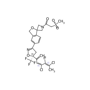 C=C(/C=C(Cl)\C(F)=C(/C)Cl)[C@]1(C(F)(F)F)CC(c2ccc3c(c2)COC32CN(C(=O)CS(C)(=O)=O)C2)=NO1